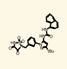 CC(C)(C)c1cc(NC(=O)Nc2cccc3ccccc23)n(-c2cccc(CN3C(=O)C(=O)NS3(=O)=O)c2)n1